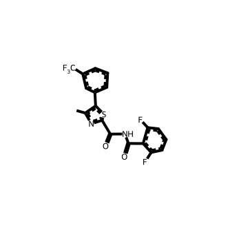 Cc1nc(C(=O)NC(=O)c2c(F)cccc2F)sc1-c1cccc(C(F)(F)F)c1